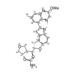 COc1cnc2c(-c3nc4ccc5c(c4s3)C[C@@H]([C@@H](OC(N)=O)C3CCOC3)O5)cc(C)cc2n1